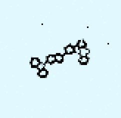 c1ccc2c(c1)Oc1cccc3c4ccc(-c5ccc6cc(-n7c8ccccc8c8ccccc87)ccc6c5)cc4n-2c13